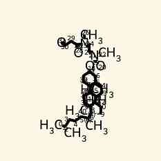 CC(C)CCC[C@@H](C)[C@H]1CC[C@H]2[C@@H]3CC=C4C[C@@H](OC(=O)N(C)CCN(C)C(=O)CC=O)CC[C@]4(C)[C@H]3CC[C@]12C